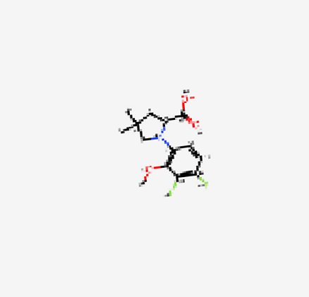 COc1c(N2CC(C)(C)CC2C(=O)O)ccc(F)c1F